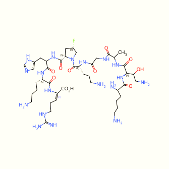 CC(NC(=O)[C@H](NC(=O)C(N)CCCCN)C(O)CN)C(=O)NCC(=O)N[C@H](CCCN)C(=O)N1C[C@@H](F)C[C@H]1C(=O)NC(Cc1cnc[nH]1)C(=O)N[C@@H](CCCCN)C(=O)N/C(=C\CCNC(=N)N)C(=O)O